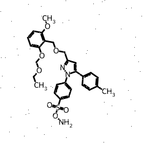 CCOCOc1cccc(OC)c1COCc1cc(-c2ccc(C)cc2)n(-c2ccc(S(=O)(=O)ON)cc2)n1